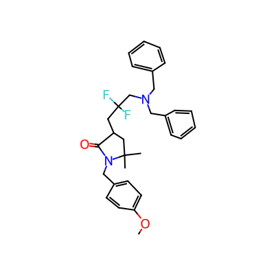 COc1ccc(CN2C(=O)C(CC(F)(F)CN(Cc3ccccc3)Cc3ccccc3)CC2(C)C)cc1